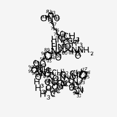 CC[C@H](C)[C@@H]([C@@H](CC(=O)N1CCC[C@H]1[C@H](OC)[C@@H](C)C(=O)N[C@@H](Cc1ccccc1)c1nccs1)OC)N(C)C(=O)C(/C=N/C(=O)C1(NC(=O)OCc2ccc(NC(=O)[C@H](CCCNC(N)=O)NC(=O)[C@@H](NC(=O)CCCCCN3C(=O)C=CC3=O)C(C)C)cc2)CCCC1)C(C)C